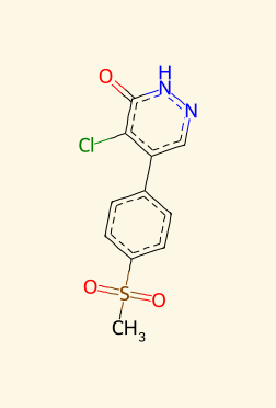 CS(=O)(=O)c1ccc(-c2cn[nH]c(=O)c2Cl)cc1